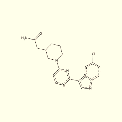 NC(=O)CC1CCCN(c2ccnc(-c3cnc4ccc(Cl)cn34)n2)C1